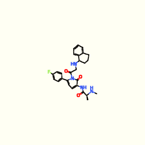 CN[C@@H](C)C(=O)Nc1ccc(-c2ccc(F)cc2)n(C(=O)CNC2CCCc3ccccc32)c1=O